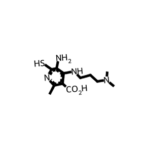 Cc1nc(S)c(N)c(NCCCN(C)C)c1C(=O)O